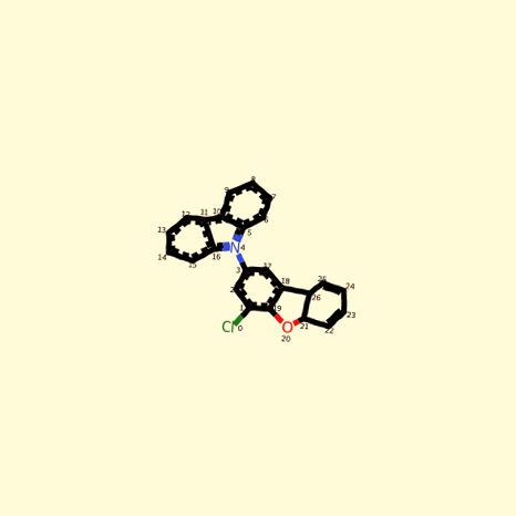 Clc1cc(-n2c3ccccc3c3ccccc32)cc2c1OC1C=CC=CC21